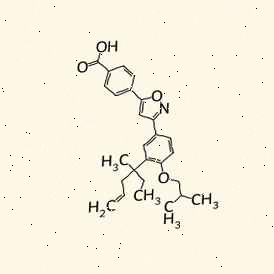 C=CCC(C)(CC)c1cc(-c2cc(-c3ccc(C(=O)O)cc3)on2)ccc1OCC(C)C